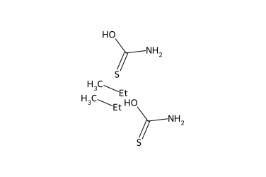 CCC.CCC.NC(O)=S.NC(O)=S